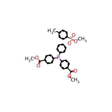 COC(=O)c1ccc(P(c2ccccc2)c2ccc(C(=O)OC)cc2)cc1.COS(=O)(=O)c1ccc(C)cc1